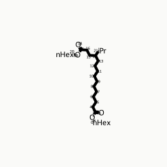 CCCCCCOC(=O)CCCCCCCCCCC(CCC(=O)OCCCCCC)C(C)C